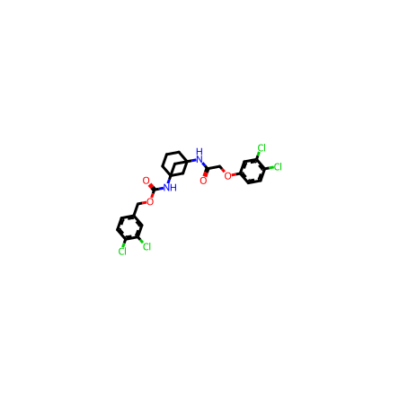 O=C(COc1ccc(Cl)c(Cl)c1)NC12CCCC(NC(=O)OCc3ccc(Cl)c(Cl)c3)(C1)C2